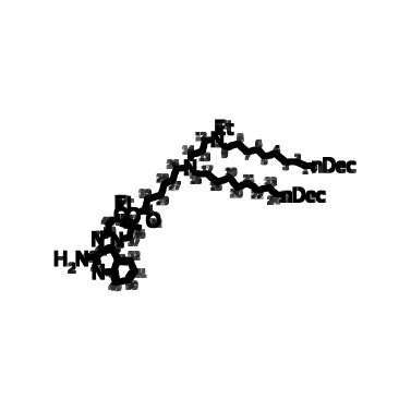 CCCCCCCCCCCCCCCCCCCN(CC)CCCN(CCCCCCCCCCCCCCCCCCC)CCCCCC(=O)OC(C)(C)Cn1c(COCC)nc2c(N)nc3ccccc3c21